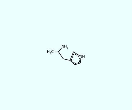 C[C@H](N)Cc1cc[nH]c1